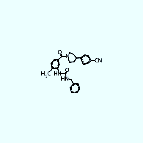 Cc1ccc(C(=O)N2CCC(c3ccc(C#N)cc3)CC2)cc1NC(=O)NCc1ccccc1